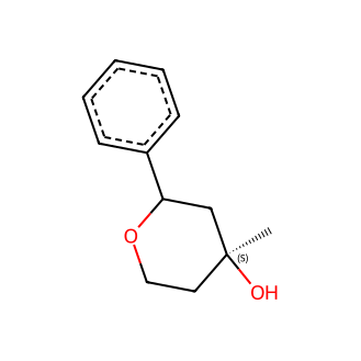 C[C@]1(O)CCOC(c2ccccc2)C1